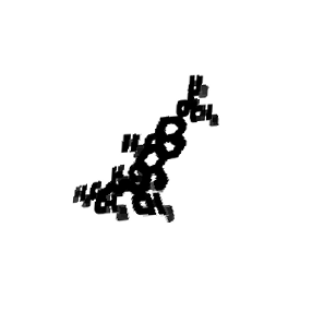 CC(C)CCC[C@@H](C)[C@H]1CCC2C3CC=C4C[C@@H](OC(C)C)CC[C@]4(C)C3CC[C@@]21C